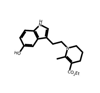 CCOC(=O)C1=C(C)N(CCc2c[nH]c3ccc(O)cc23)CCC1